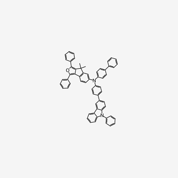 CC1(C)c2cc(N(c3ccc(-c4ccccc4)cc3)c3ccc(-c4ccc5c(c4)c4ccccc4n5-c4ccccc4)cc3)ccc2-c2c(-c3ccccc3)oc(-c3ccccc3)c21